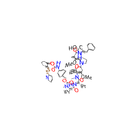 CC[C@H](C)[C@@H]([C@@H](CC(=O)N1CCC[C@H]1[C@H](OC)[C@@H](C)C(=O)N[C@@H](Cc1ccccc1)C(=O)O)OC)N(C)C(=O)[C@@H](NC(=O)[C@H](C(C)C)N(C)C(=O)OCc1ccc(NC(=O)O[C@@H]2CCC[C@H]2SSc2ccccn2)cc1)C(C)C